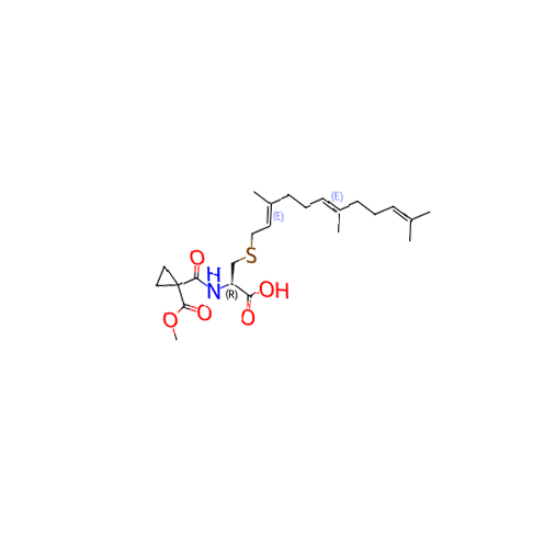 COC(=O)C1(C(=O)N[C@@H](CSC/C=C(\C)CC/C=C(\C)CCC=C(C)C)C(=O)O)CC1